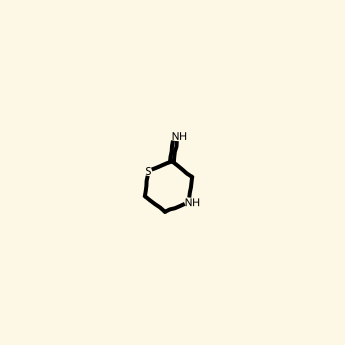 N=C1CNCCS1